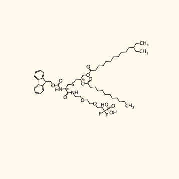 CCCCCCCCCCCC(=O)O[C@H](COC(=O)CCCCCCCCCCC(CC)CC)CSC[C@H](NC(=O)OCC1c2ccccc2-c2ccccc21)C(=O)NCCOCCOCCC(F)(F)P(=O)(O)O